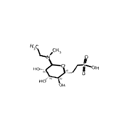 CCN(C)C1O[C@H](CCS(=O)(=O)O)[C@@H](O)[C@H](O)[C@@H]1O